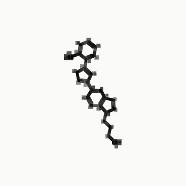 OCCCC1C=Cc2cc(C3=CCC(c4ccccc4O)=C3)ccc21